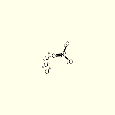 O=[N+]([O-])[O-].[Cl-].[Li+].[Li+]